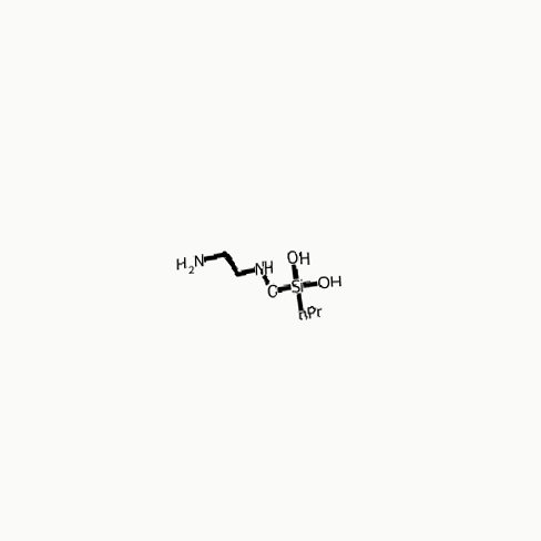 CCC[Si](O)(O)ONCCN